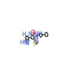 Nc1c(-c2cccc3[nH]ncc23)cc(-c2nccs2)c2nc(-c3ccc(-c4ccccc4)cc3)[nH]c(=O)c12